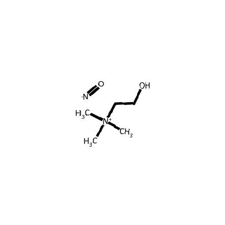 C[N+](C)(C)CCO.[N]=O